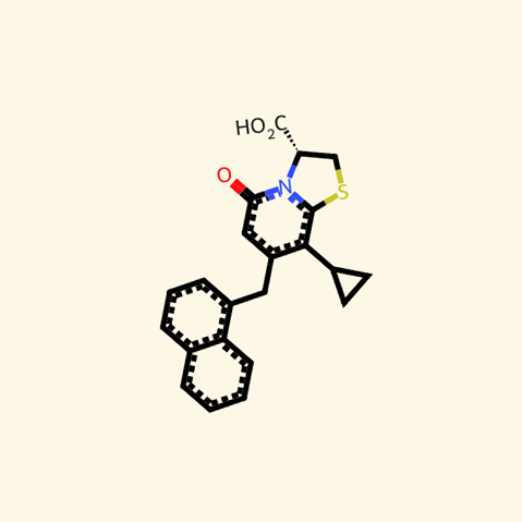 O=C(O)[C@@H]1CSc2c(C3CC3)c(Cc3cccc4ccccc34)cc(=O)n21